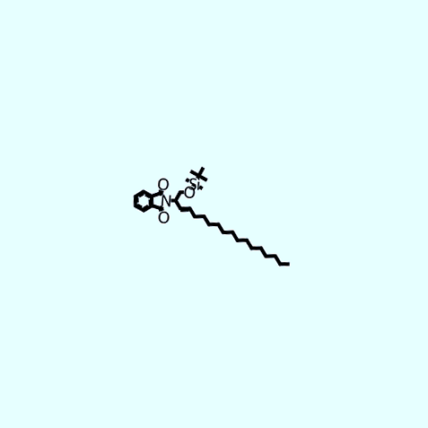 CCCCCCCCCCCCCCC=CC(CO[Si](C)(C)C(C)(C)C)N1C(=O)c2ccccc2C1=O